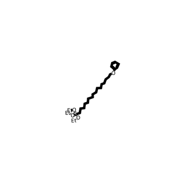 CCO[Si](CCCCCCCCCCCCCCCCOc1ccccc1)(OCC)OCC